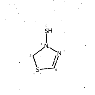 SN1CSC=N1